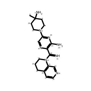 CC1(N)CCN(c2cnc(C(=N)N3CCCc4ccncc43)c(N)n2)CC1